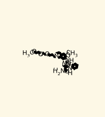 COCCOCCOCCCN1CCc2cc(OC)c(Nc3ncc(C(N)=O)c(Nc4ccccc4Br)n3)cc2C1